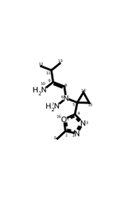 Cc1nnc(C2(N(N)/C=C(\N)C(C)C)CC2)o1